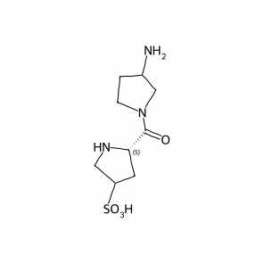 NC1CCN(C(=O)[C@@H]2CC(S(=O)(=O)O)CN2)C1